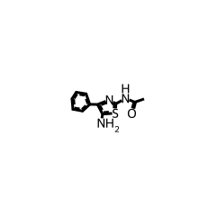 CC(=O)Nc1nc(-c2ccccc2)c(N)s1